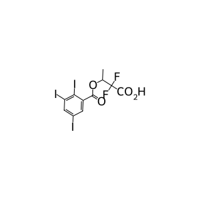 CC(OC(=O)c1cc(I)cc(I)c1I)C(F)(F)C(=O)O